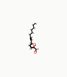 CCCCCCC#Cc1ccc(C=O)o1